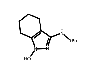 CC(C)(C)Nc1nn(O)c2c1CCCC2